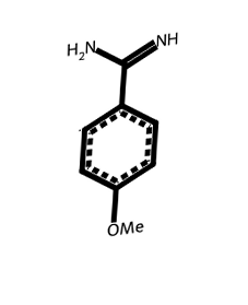 COc1c[c]c(C(=N)N)cc1